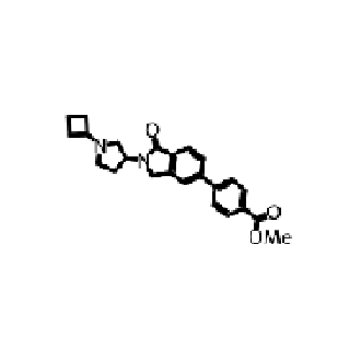 COC(=O)c1ccc(-c2ccc3c(c2)CN(C2CCN(C4CCC4)C2)C3=O)cc1